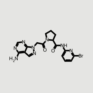 Nc1ncnc2c1cnn2CC(=O)N1CCCC1C(=O)Nc1cccc(Br)n1